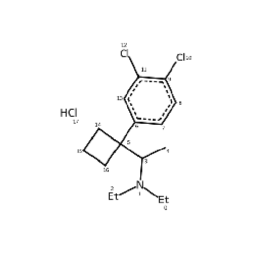 CCN(CC)C(C)C1(c2ccc(Cl)c(Cl)c2)CCC1.Cl